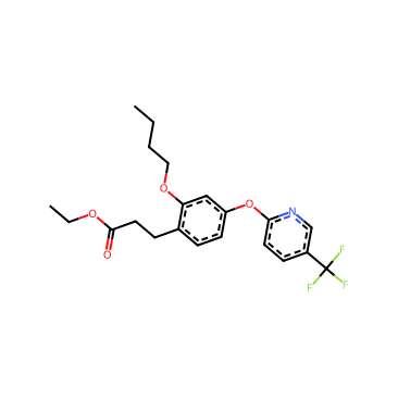 CCCCOc1cc(Oc2ccc(C(F)(F)F)cn2)ccc1CCC(=O)OCC